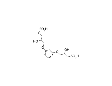 O=S(=O)(O)CC(O)COc1cccc(OCC(O)COS(=O)(=O)O)c1